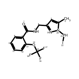 Cc1cc(CNC(=O)c2ccccc2OC(F)(F)F)nn1PI